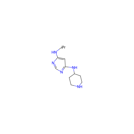 CC(C)Nc1cc(NC2CCNCC2)ncn1